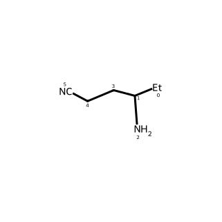 CCC(N)CCC#N